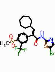 CS(=O)(=O)c1ccc(/C(=C\C2CCCCCC2)C(=O)Nc2ncc(Br)s2)cc1C(F)(F)F